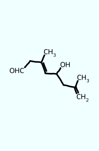 C=C(C)CC(O)C=C(C)CC=O